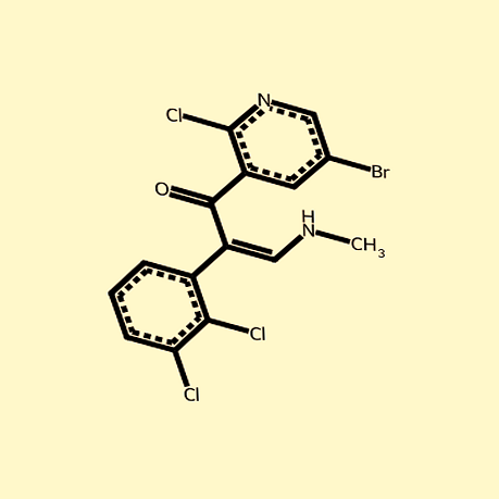 CN/C=C(\C(=O)c1cc(Br)cnc1Cl)c1cccc(Cl)c1Cl